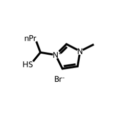 CCCC(S)[n+]1ccn(C)c1.[Br-]